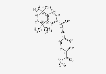 COC(=O)c1ccc(C#CC(=O)c2ccc3c(c2)C(C)(C)CCC3(C)C)cc1